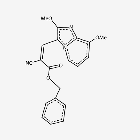 COc1nc2c(OC)cccn2c1/C=C(/C#N)C(=O)OCc1ccccc1